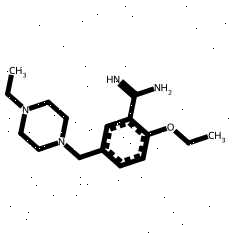 CCOc1ccc(CN2CCN(CC)CC2)cc1C(=N)N